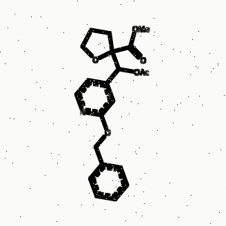 COC(=O)C1(C(OC(C)=O)c2ccnc(OCc3ccccc3)c2)CCCO1